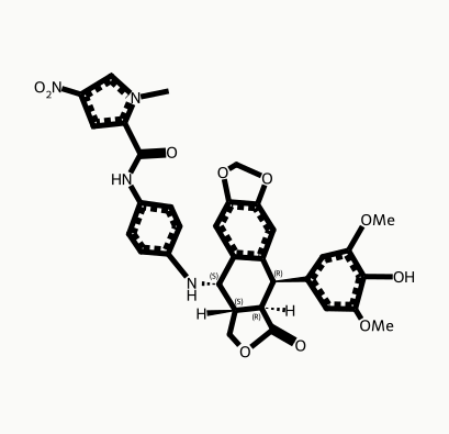 COc1cc([C@@H]2c3cc4c(cc3[C@@H](Nc3ccc(NC(=O)c5cc([N+](=O)[O-])cn5C)cc3)[C@H]3COC(=O)[C@H]23)OCO4)cc(OC)c1O